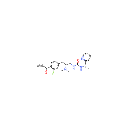 CNC(=O)c1ccc(CC(CNC(=O)N[C@@H](C)c2ccccn2)N(C)C)cc1F